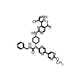 COc1ncc(-c2cnc(N(C(=O)NCc3ccccc3)[C@H]3CC[C@H](Nc4ncc(C(F)F)c(-c5n[nH]cc5Cl)n4)CC3)cn2)cn1